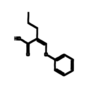 CCCC(=COc1ccccc1)C(=O)O